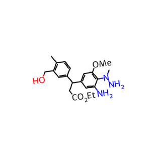 CCOC(=O)CC(c1ccc(C)c(CO)c1)c1cc(N)c(N(C)N)c(OC)c1